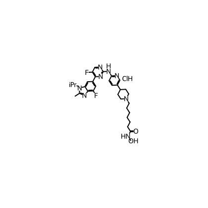 Cc1nc2c(F)cc(-c3nc(Nc4ccc(C5CCN(CCCCCCC(=O)NO)CC5)cn4)ncc3F)cc2n1C(C)C.Cl